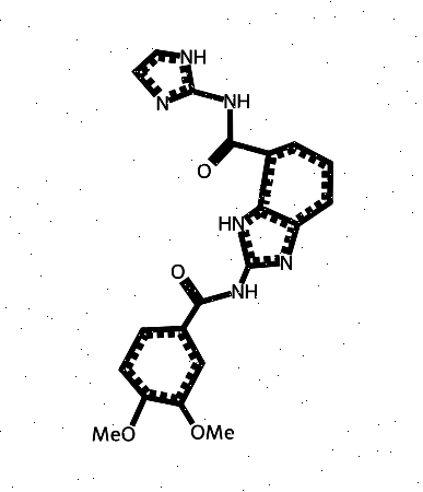 COc1ccc(C(=O)Nc2nc3cccc(C(=O)Nc4ncc[nH]4)c3[nH]2)cc1OC